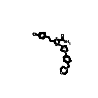 NC(=O)C1SC(CCc2ccc(Cl)cc2)=NN1[C@H]1CCN(c2ccc(CN3CCOCC3)cc2)C1